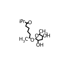 CC(C)C(=O)CCCC[C@@H](C)O[C@@H]1OC(C)[C@H](O)CC1O